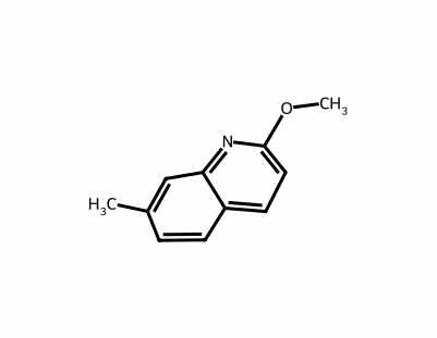 COc1ccc2ccc(C)cc2n1